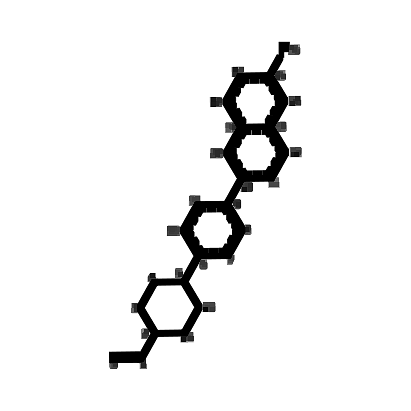 C=CC1CCC(c2ccc(-c3ccc4cc(F)ccc4c3)cc2)CC1